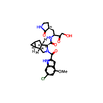 COc1cc(Cl)cc2[nH]c(C(=O)N3C[C@H]4[C@H](CC5C[C@@H]54)[C@H]3C(=O)NC(C[C@@H]3CCNC3=O)C(=O)CO)cc12